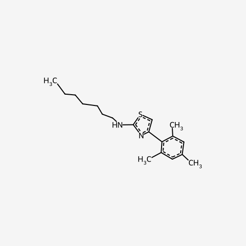 CCCCCCCNc1nc(-c2c(C)cc(C)cc2C)cs1